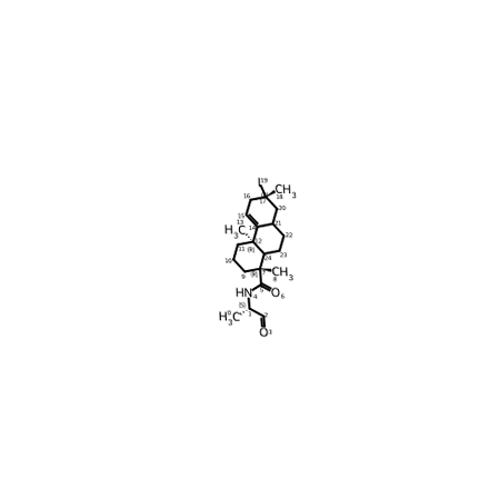 C[C@@H](C=O)NC(=O)[C@]1(C)CCC[C@@]2(C)C3=CC[C@](C)(I)CC3CCC12